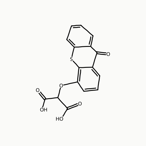 O=C(O)C(Oc1cccc2c(=O)c3ccccc3sc12)C(=O)O